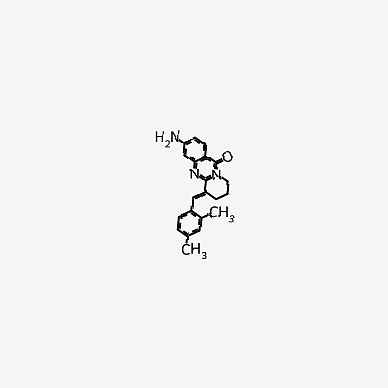 Cc1ccc(C=C2CCCn3c2nc2cc(N)ccc2c3=O)c(C)c1